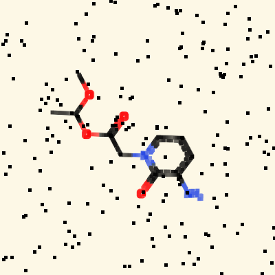 COC(C)OC(=O)Cn1cccc(N)c1=O